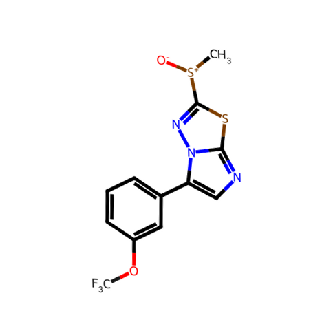 C[S+]([O-])c1nn2c(-c3cccc(OC(F)(F)F)c3)cnc2s1